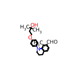 Cc1c(C=O)ccc2c1N(c1ccc(OCCC(C)(C)O)cc1)CCC2